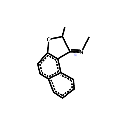 C/N=C1/c2c(ccc3ccccc23)OC1C